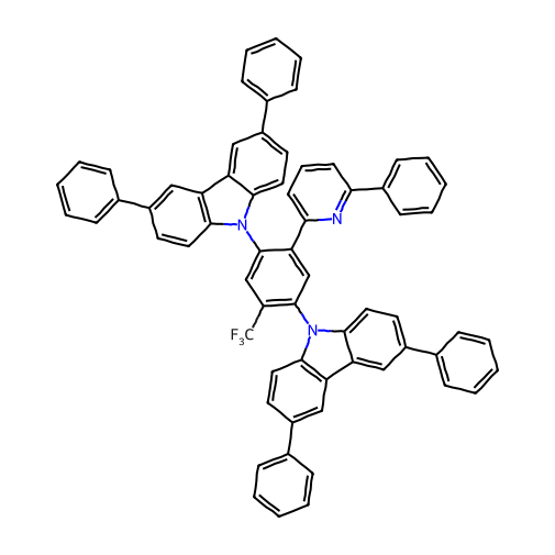 FC(F)(F)c1cc(-n2c3ccc(-c4ccccc4)cc3c3cc(-c4ccccc4)ccc32)c(-c2cccc(-c3ccccc3)n2)cc1-n1c2ccc(-c3ccccc3)cc2c2cc(-c3ccccc3)ccc21